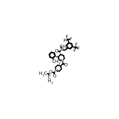 Cc1ccccc1[C@@H]1CN(C(=O)C2CCN(C(=O)OC(C)C)CC2)CC[C@H]1C(=O)N(C)Cc1cc(C(F)(F)F)cc(C(F)(F)F)c1